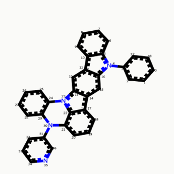 c1ccc(-n2c3ccccc3c3cc4c(cc32)c2cccc3c2n4-c2ccccc2N3c2cccnc2)cc1